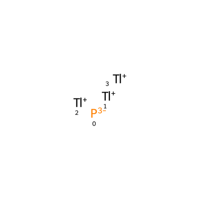 [P-3].[Tl+].[Tl+].[Tl+]